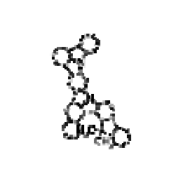 CC1(C)c2ccccc2-c2ccc3c(c21)c1c2ccccc2cc2c4cc5c6cccc7c8ccccc8n(c5cc4n3c21)c76